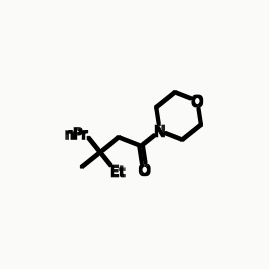 CCCC(C)(CC)CC(=O)N1CCOCC1